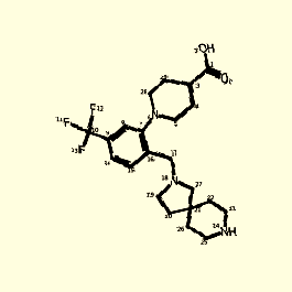 O=C(O)C1CCN(c2cc(C(F)(F)F)ccc2CN2CCC3(CCNCC3)C2)CC1